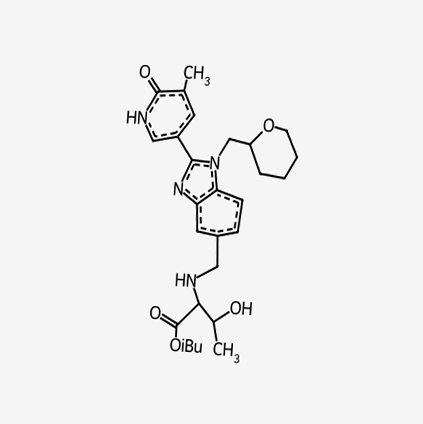 Cc1cc(-c2nc3cc(CNC(C(=O)OCC(C)C)C(C)O)ccc3n2CC2CCCCO2)c[nH]c1=O